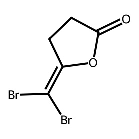 O=C1CCC(=C(Br)Br)O1